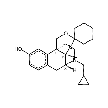 Oc1ccc2c(c1)[C@]13CCN(CC4CC4)[C@H](C2)[C@@H]1CC1(CCCCC1)OC3